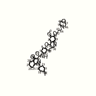 COc1cc2c(Oc3ccc(NC(=O)c4nn(-c5ccc(F)cc5)c5ccccc5c4=O)cc3F)ccnc2cc1OCCCN1CCOCC1